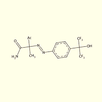 CC(=O)C(C)(N=Nc1ccc(C(O)(C(F)(F)F)C(F)(F)F)cc1)C(N)=O